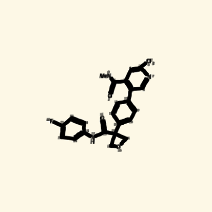 CNC(=O)c1cc(C(F)(F)F)ncc1-c1ccc(C2(C(=O)Nc3ccc(F)cc3)COC2)cc1